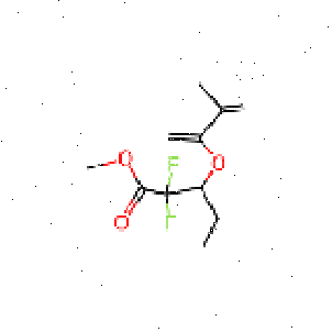 C=C(C)C(=C)OC(CC)C(F)(F)C(=O)OC